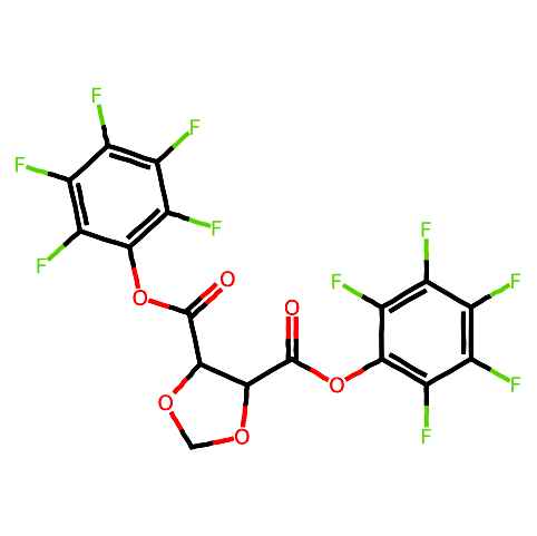 O=C(Oc1c(F)c(F)c(F)c(F)c1F)C1OCOC1C(=O)Oc1c(F)c(F)c(F)c(F)c1F